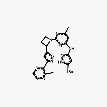 Cc1cc(Nc2cc(C(C)(C)C)[nH]n2)nc(N2CCC2c2cc(-c3nccnc3C)no2)n1